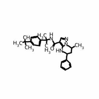 CC1CC(c2ccccc2)Nc2c(C(=O)NC(C)(C)c3ccc(C(C)(C)C)cc3)cnn21